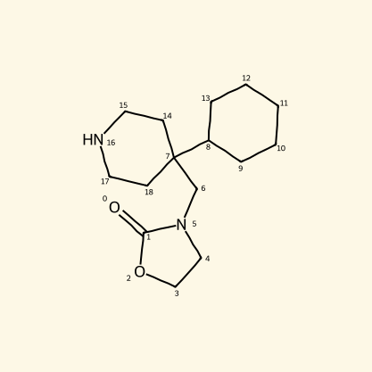 O=C1OCCN1CC1(C2CCCCC2)CCNCC1